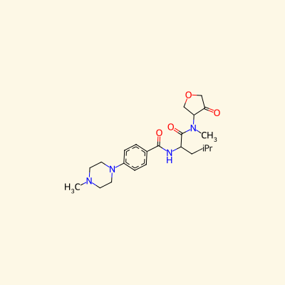 CC(C)CC(NC(=O)c1ccc(N2CCN(C)CC2)cc1)C(=O)N(C)C1COCC1=O